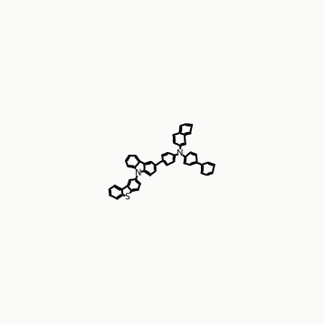 c1ccc(-c2ccc(N(c3ccc(-c4ccc5c(c4)c4ccccc4n5-c4ccc5sc6ccccc6c5c4)cc3)c3ccc4ccccc4c3)cc2)cc1